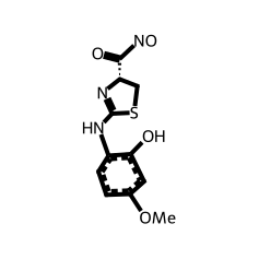 COc1ccc(NC2=N[C@H](C(=O)N=O)CS2)c(O)c1